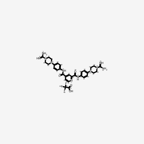 N=C(N)N1CCN(c2ccc(NC(=O)c3ccnc(C(=O)Nc4ccc(N5CCN(C(=N)N)CC5)cc4)c3)cc2)CC1.O=C(O)C(F)(F)F